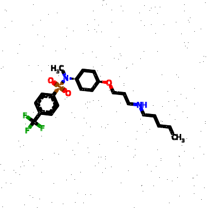 CCCCCNCCCO[C@H]1CC[C@H](N(C)S(=O)(=O)c2ccc(C(F)(F)F)cc2)CC1